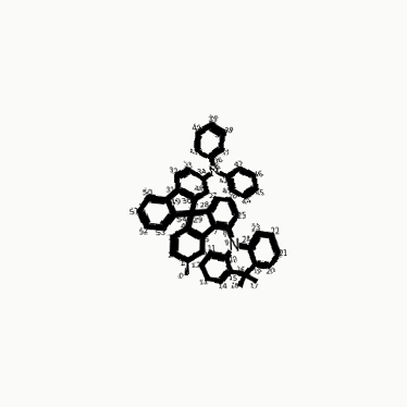 C[C@H]1C=CC2=C(C1)c1c(N3C4=CCCC=C4C(C)(C)c4ccccc43)cccc1C21C2=C(C=CC(N(c3ccccc3)c3ccccc3)C2)c2ccccc21